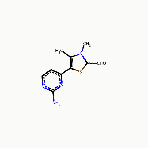 CC1=C(c2ccnc(N)n2)SC(C=O)N1C